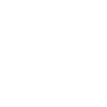 C(CSCC1CSC(CSCCSCC2CO2)CS1)SCC1CO1